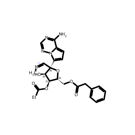 CCC(=O)O[C@H]1[C@@H](O)[C@](/C=N\C)(c2ccc3c(N)ncnn23)O[C@@H]1COC(=O)Cc1ccccc1